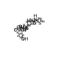 COC(=O)[C@H](Cc1ccc(O)cc1)NC(=O)c1cc(-c2ccc(NC(=O)Nc3ccc(C)cc3)cc2)no1